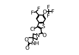 O=C1NC2(CO1)CN(C(=O)c1sc3cc(OC(F)(F)F)c(C(F)F)cc3c1Cl)C2